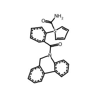 NC(=O)S1(c2ccccc2C(=O)N2Cc3ccccc3-c3ccccc32)C=CC=C1